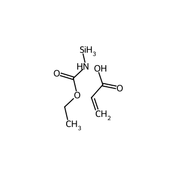 C=CC(=O)O.CCOC(=O)N[SiH3]